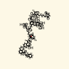 Cc1c(-c2ccc(N3CCc4cccc(C(=O)Nc5nc6ccccc6s5)c4C3)nc2C(=O)O)cnn1CC12CC3(C)CC(C)(CC(CCCN(CCS(=O)(=O)O)C(=O)OCc4ccc(NC(=O)[C@H](C)NC(=O)[C@@H](NC(=O)CCCCCN5C(=O)C=CC5=O)C(C)C)cc4C[C@@H]4O[C@H](C(=O)O)[C@@H](O)[C@H](O)[C@H]4O)(C3)C1)C2